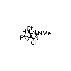 CCNc1nc(NC)nc(Cl)c1OC(F)F